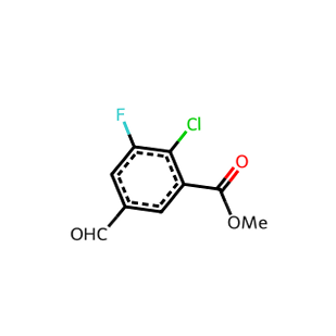 COC(=O)c1cc(C=O)cc(F)c1Cl